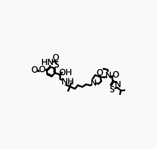 CC(C)c1nc(C(=O)N2CCOC3(CCN(CCCCCC(C)(C)CNCC(O)c4ccc(OC=O)c5[nH]c(=O)sc45)CC3)C2)cs1